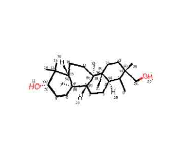 CC1[C@H]2CC[C@@H]3[C@@]4(C)CC[C@H](O)C(C)(C)[C@@H]4CC[C@@]3(C)[C@]2(C)CC[C@]1(C)CO